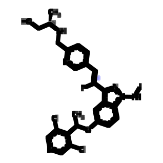 CC(Oc1ccc2c(c1)c(/C(F)=C/c1ccc(CN[C@@H](C)CO)nc1)nn2PI)c1c(Cl)cncc1Cl